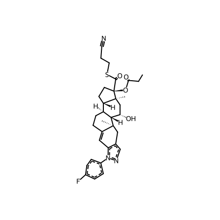 CCC(=O)O[C@]1(C(=O)SCCC#N)CC[C@H]2[C@@H]3CCC4=Cc5c(cnn5-c5ccc(F)cc5)C[C@]4(C)[C@H]3[C@@H](O)C[C@@]21C